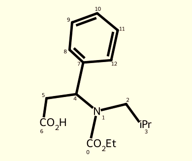 CCOC(=O)N(CC(C)C)C(CC(=O)O)c1ccccc1